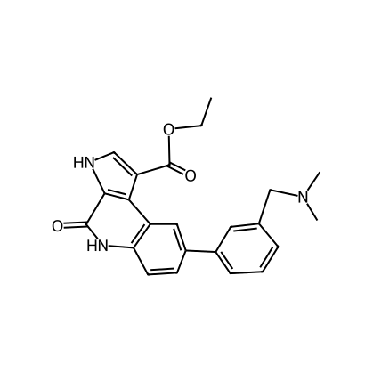 CCOC(=O)c1c[nH]c2c(=O)[nH]c3ccc(-c4cccc(CN(C)C)c4)cc3c12